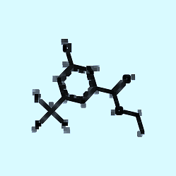 CCOC(=O)c1cc(C(F)(F)F)cc(Cl)n1